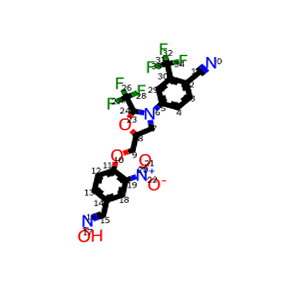 N#Cc1ccc(N2CC(COc3ccc(C=NO)cc3[N+](=O)[O-])OC2C(F)(F)F)cc1C(F)(F)F